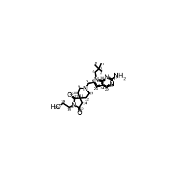 CC(C)(C)Cn1c(CN2CCC3(CC2)CC(=O)N(CCO)C3=O)cc2cnc(N)nc21